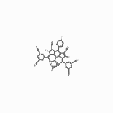 N#CC1=C(F)/C(=C(/C#N)c2cc(C#N)cc(C#N)c2)c2c1c(-c1ccc(F)cc1)c1c(c2-c2ccc(F)cc2)/C(=C(\C#N)c2cc(C#N)cc(C#N)c2)C(F)=C1C#N